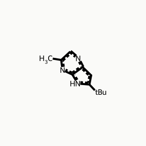 Cc1cnc2cc(C(C)(C)C)[nH]c2n1